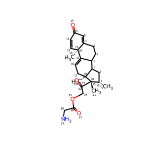 C[C@H]1CC2C3CCC4=CC(=O)C=C[C@]4(C)C3=CC[C@]2(C)[C@@]1(C)C(=O)COC(=O)CN